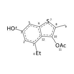 CCc1cc(O)cc2sc(C)c(OC(C)=O)c12